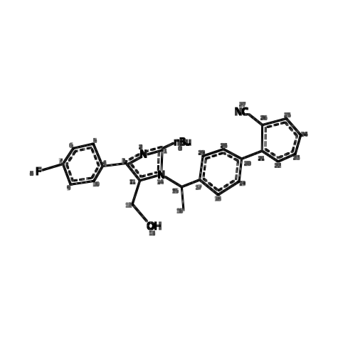 CCCCc1nc(-c2ccc(F)cc2)c(CO)n1C(C)c1ccc(-c2ccccc2C#N)cc1